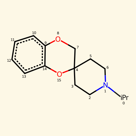 CC(C)N1CCC2(CC1)COc1ccccc1O2